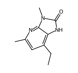 CCc1cc(C)nc2c1[nH]c(=O)n2C